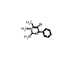 CC1=C(Br)C(c2ccccc2)=NC(N)N1N